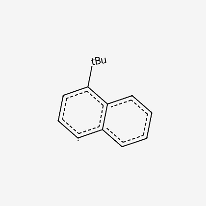 CC(C)(C)c1cc[c]c2ccccc12